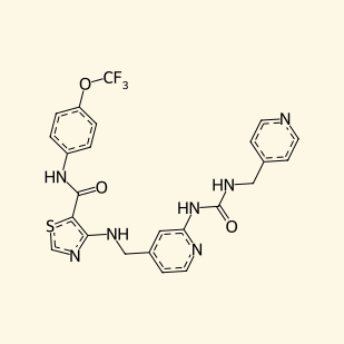 O=C(NCc1ccncc1)Nc1cc(CNc2ncsc2C(=O)Nc2ccc(OC(F)(F)F)cc2)ccn1